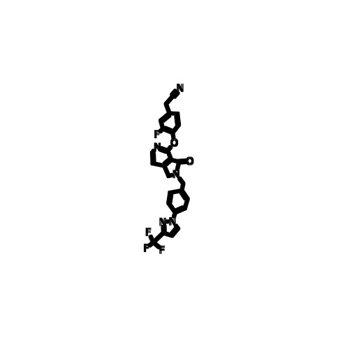 N#CCc1ccc(Oc2nccc3c2C(=O)N(Cc2ccc(-n4ccc(C(F)(F)F)n4)cc2)C3)c(F)c1